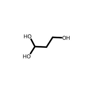 OCCC(O)O